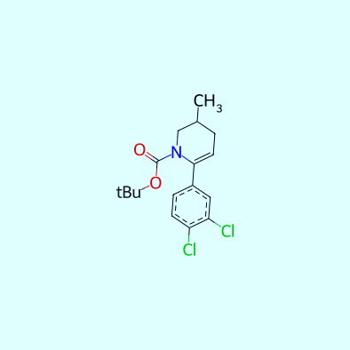 CC1CC=C(c2ccc(Cl)c(Cl)c2)N(C(=O)OC(C)(C)C)C1